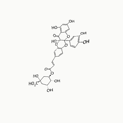 O=C(/C=C/c1ccc2c(c1)OC1(O)C(=O)c3c(O)cc(O)cc3OC1(c1ccc(O)c(O)c1)O2)O[C@@H]1C[C@](O)(C(=O)O)C[C@@H](O)[C@H]1O